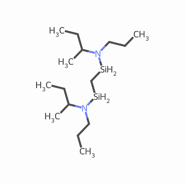 CCCN([SiH2]C[SiH2]N(CCC)C(C)CC)C(C)CC